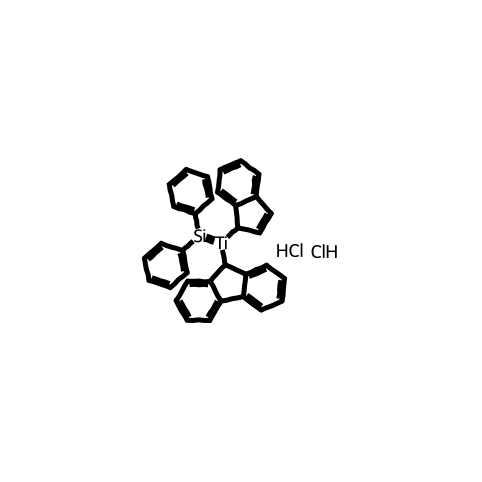 C1=C[CH]([Ti]([CH]2c3ccccc3-c3ccccc32)=[Si](c2ccccc2)c2ccccc2)c2ccccc21.Cl.Cl